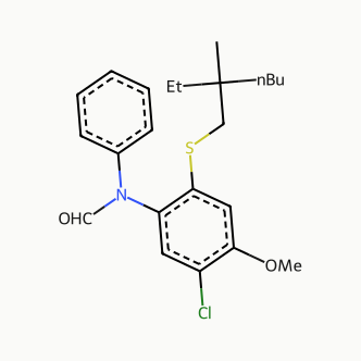 CCCCC(C)(CC)CSc1cc(OC)c(Cl)cc1N(C=O)c1ccccc1